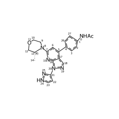 CC(=O)Nc1ccc(-c2cc(N3CCOC[C@H]3C)nc3c2cnn3-c2cc[nH]n2)cc1